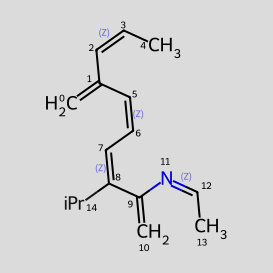 C=C(/C=C\C)/C=C\C=C(/C(=C)/N=C\C)C(C)C